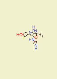 Cc1n[nH]c2nc(-c3ccc(O)c(F)c3)cc(C(=O)NC3CC4CC3CN4)c12